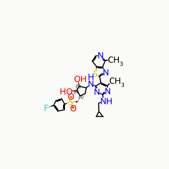 Cc1nc(NCC2CC2)nc(NC2C[C@H](CS(=O)(=O)c3ccc(F)cc3)[C@@H](O)[C@H]2O)c1-c1nc2c(C)nccc2s1